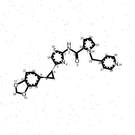 O=C(Nc1nc([C@@H]2C[C@H]2c2ccc3c(c2)OCO3)cs1)c1cccn1Cc1ccncc1